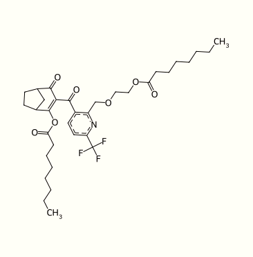 CCCCCCCC(=O)OCCOCc1nc(C(F)(F)F)ccc1C(=O)C1=C(OC(=O)CCCCCCC)C2CCC(C2)C1=O